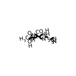 C[C@@H](O)[C@H]1C(=O)N2C(C(=O)O)=C(C3CN=C(CSc4cnns4)NC3)C[C@H]12